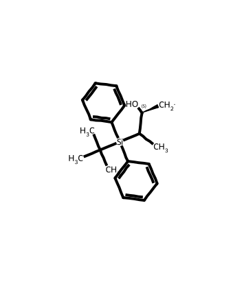 [CH2][C@H](O)C(C)[Si](c1ccccc1)(c1ccccc1)C(C)(C)C